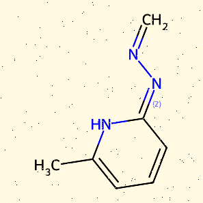 C=N/N=c1/cccc(C)[nH]1